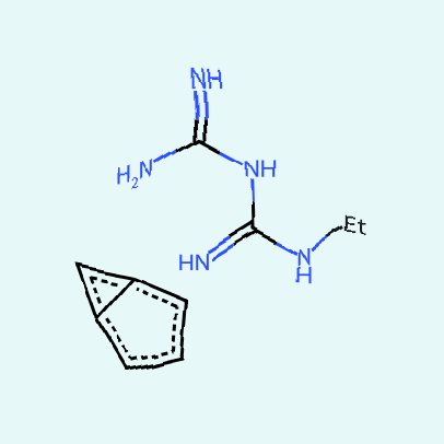 CCNC(=N)NC(=N)N.c1cc2cc-2c1